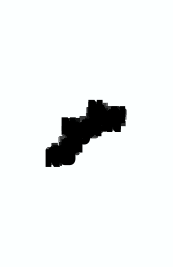 c1cc2c(cn1)oc1cnc(-c3cncc4c3oc3cnc(-c5cncc6c5sc5ncncc56)cc34)cc12